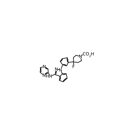 O=C(O)N1CCC(F)(c2cccc(-n3nc(Nc4cnccn4)c4ccccc43)c2)CC1